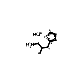 CC(CN)Cc1cccs1.Cl